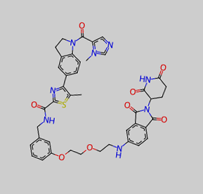 Cc1sc(C(=O)NCc2cccc(OCCOCCNc3ccc4c(c3)C(=O)N(C3CCC(=O)NC3=O)C4=O)c2)nc1-c1ccc2c(c1)CCN2C(=O)c1cncn1C